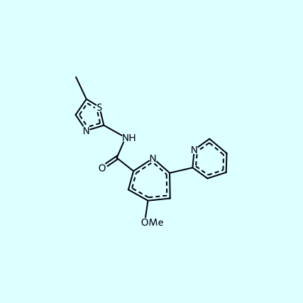 COc1cc(C(=O)Nc2ncc(C)s2)nc(-c2ccccn2)c1